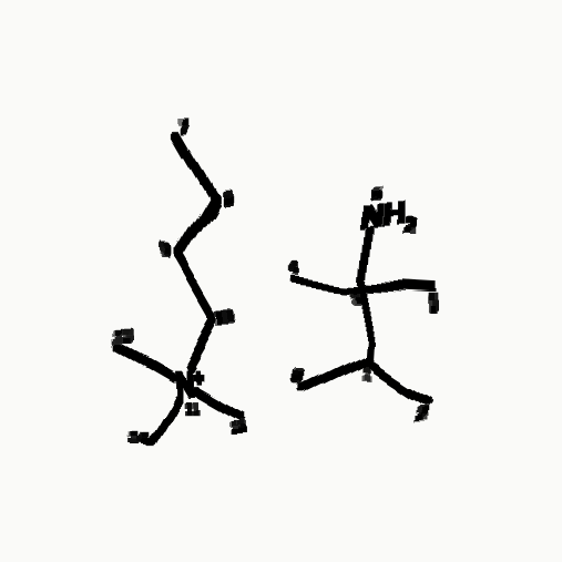 CC(C)C(C)(C)N.CCCC[N+](C)(C)C